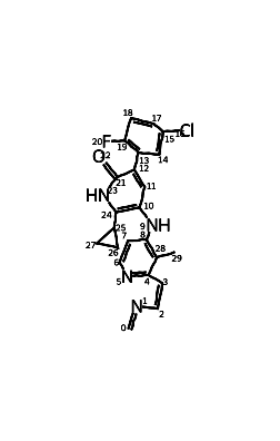 C=N/C=C\c1nccc(Nc2cc(-c3cc(Cl)ccc3F)c(=O)[nH]c2C2CC2)c1C